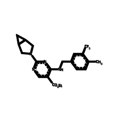 CCOC(=O)c1cnc(N2CC3CC3C2)nc1NCc1ccc(C)c(C(F)(F)F)c1